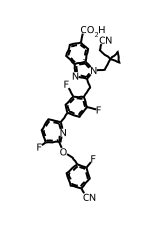 N#CCC1(Cn2c(Cc3c(F)cc(-c4ccc(F)c(OCc5ccc(C#N)cc5F)n4)cc3F)nc3ccc(C(=O)O)cc32)CC1